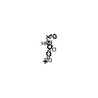 CC(C)(C)OC(=O)N1CCN(c2cc3[nH]c(SC(C)(C)CN4CCCC4)nc3cc2Cl)CC1